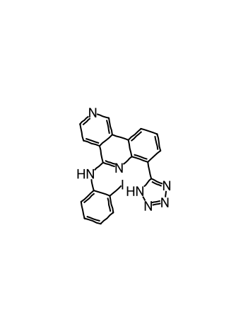 Ic1ccccc1Nc1nc2c(-c3nnn[nH]3)cccc2c2cnccc12